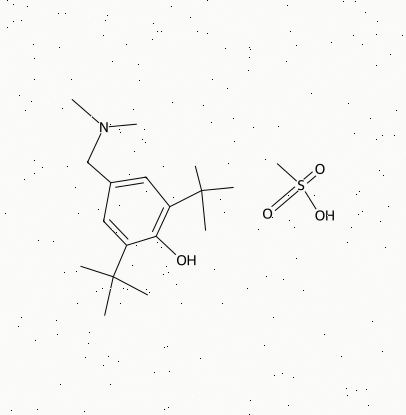 CN(C)Cc1cc(C(C)(C)C)c(O)c(C(C)(C)C)c1.CS(=O)(=O)O